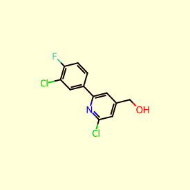 OCc1cc(Cl)nc(-c2ccc(F)c(Cl)c2)c1